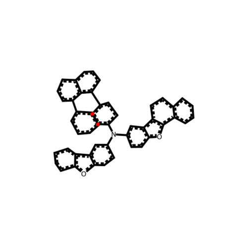 c1ccc(-c2cccc3cccc(-c4ccc(N(c5ccc6oc7ccccc7c6c5)c5ccc6oc7c8ccccc8ccc7c6c5)cc4)c23)cc1